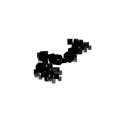 COC(C)(C)CC1CC2(CCC(CN3CCC4(CC3)CN(c3ncnnc3Oc3ccc(F)cc3C(=O)N(C(C)C)C(C)C)C4)CC2)NC1=O